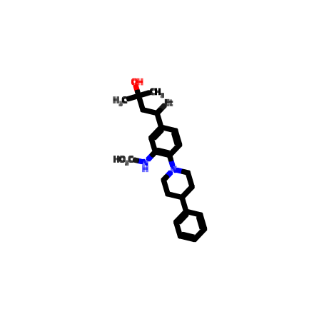 CCC(CC(C)(C)O)c1ccc(N2CCC(c3ccccc3)CC2)c(NC(=O)O)c1